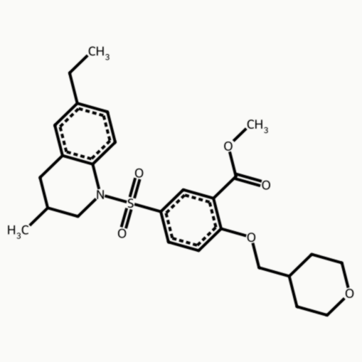 CCc1ccc2c(c1)CC(C)CN2S(=O)(=O)c1ccc(OCC2CCOCC2)c(C(=O)OC)c1